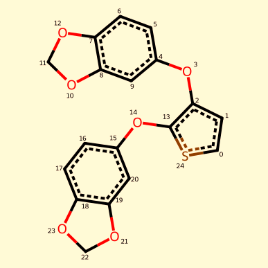 c1cc(Oc2ccc3c(c2)OCO3)c(Oc2ccc3c(c2)OCO3)s1